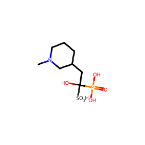 CN1CCCC(CC(O)(P(=O)(O)O)S(=O)(=O)O)C1